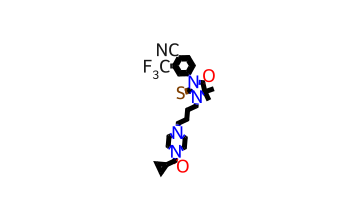 CC1(C)C(=O)N(c2ccc(C#N)c(C(F)(F)F)c2)C(=S)N1CCCCN1CCN(C(=O)C2CC2)CC1